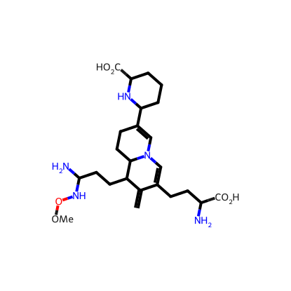 C=C1C(CCC(N)C(=O)O)=CN2C=C(C3CCCC(C(=O)O)N3)CCC2C1CCC(N)NOOC